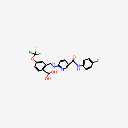 O=C(Nc1ccc(F)cc1)c1ccc(NCc2cc(OC(F)(F)F)ccc2B(O)O)nc1